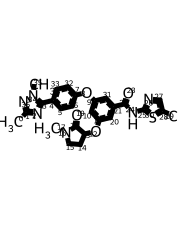 Cc1nc(-c2ccc(Oc3cc(OC4CCN(C)C4=O)cc(C(=O)Nc4ncc(Cl)s4)c3)cc2)n(C)n1